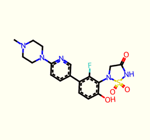 CN1CCN(c2ccc(-c3ccc(O)c(N4CC(=O)NS4(=O)=O)c3F)cn2)CC1